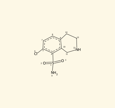 NS(=O)(=O)c1c(Cl)ccc2c1CNCC2